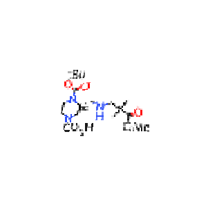 COC(=O)C(C)(C)CNC[C@@H]1CN(C(=O)O)CCN1C(=O)OC(C)(C)C